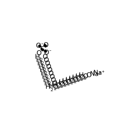 O.O.O.O.O.O.O.O.O.O.O.O.O.O.O.O.O.O.O.O.O=S(=O)([O-])[O-].[Na+].[Na+]